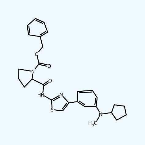 CN(c1cccc(-c2csc(NC(=O)C3CCCN3C(=O)OCc3ccccc3)n2)c1)C1CCCC1